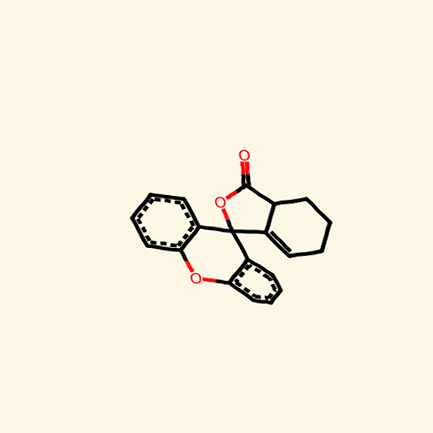 O=C1OC2(C3=CCCCC13)c1ccccc1Oc1ccccc12